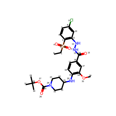 CCS(=O)(=O)c1ccc(Cl)cc1NNC(=O)c1ccc(NC2CCN(C(=O)OC(C)(C)C)CC2)c(OC)c1